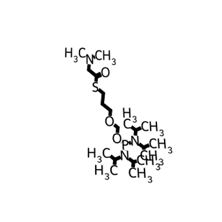 CC(C)N(C(C)C)P(OCOCCCSC(=O)CN(C)C)N(C(C)C)C(C)C